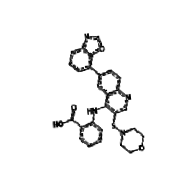 O=C(O)c1ccccc1Nc1c(SN2CCOCC2)cnc2ccc(-c3cccc4ncoc34)cc12